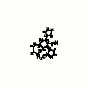 Cn1nccc1-c1c(C#N)c(C2CCCC2)nc2c1CCCCC2